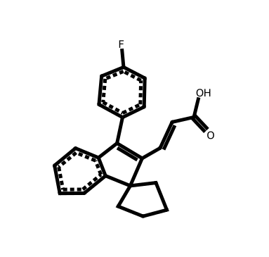 O=C(O)/C=C/C1=C(c2ccc(F)cc2)c2ccccc2C12CCCC2